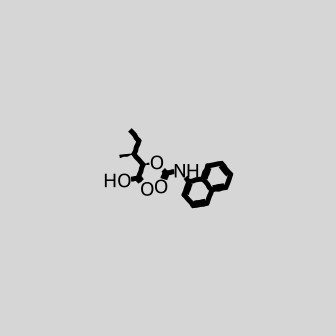 CC[C@H](C)[C@H](OC(=O)Nc1cccc2ccccc12)C(=O)O